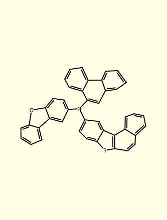 c1ccc2c(c1)cc(N(c1ccc3oc4ccccc4c3c1)c1ccc3sc4ccc5ccccc5c4c3c1)c1ccccc12